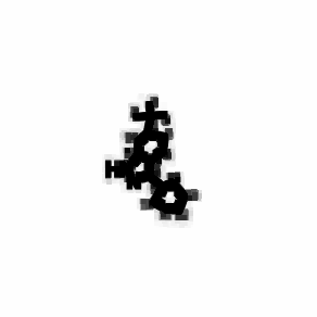 CC(C)(C)c1ccc2c(-c3ccccc3)n[nH]c2c1